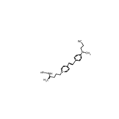 C=C(CCC[n+]1ccc(/C=C/c2ccc(N(C)CCC#N)cc2)cc1)NCCC